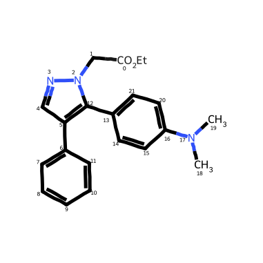 CCOC(=O)Cn1ncc(-c2ccccc2)c1-c1ccc(N(C)C)cc1